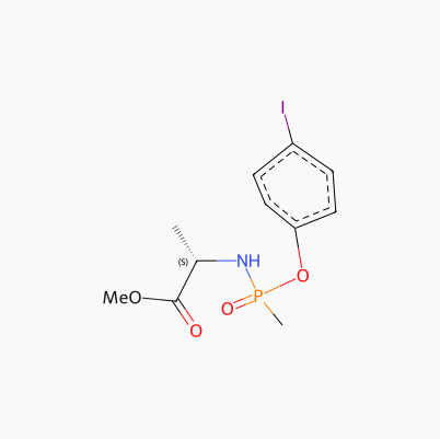 COC(=O)[C@H](C)NP(C)(=O)Oc1ccc(I)cc1